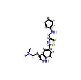 CN(C)CCc1c[nH]c2ccc(-c3nc(CNc4ccccc4)cs3)cc12